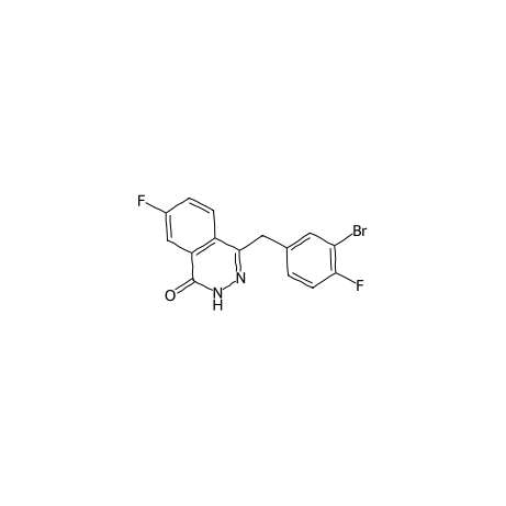 O=c1[nH]nc(Cc2ccc(F)c(Br)c2)c2ccc(F)cc12